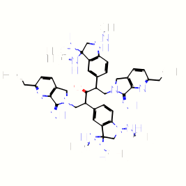 CCc1ccc2c(n1)C(=N)N(CC(C(=O)C(CN1Cc3ccc(CC)nc3C1=N)c1ccc3c(c1)C(NC)(NC)CN3NC)c1ccc3c(c1)C(NC)(NC)CN3NC)C2